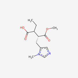 CCC(C(=O)O)[C@@H](Cc1cncn1C)C(=O)OC